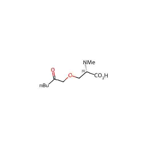 CCCCC(=O)COC[C@H](NC)C(=O)O